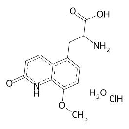 COc1ccc(CC(N)C(=O)O)c2ccc(=O)[nH]c12.Cl.O